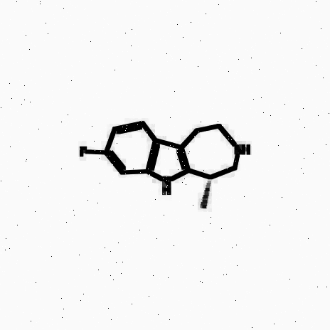 C[C@H]1CNCCc2c1[nH]c1cc(F)ccc21